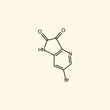 O=C1Nc2cc(Br)cnc2C1=O